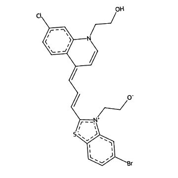 [O-]CC[n+]1c(/C=C/C=C2\C=CN(CCO)c3cc(Cl)ccc32)sc2ccc(Br)cc21